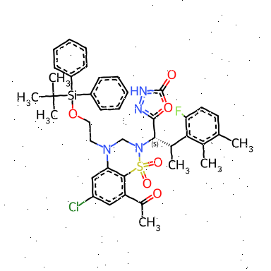 CC(=O)c1cc(Cl)cc2c1S(=O)(=O)N([C@H](c1n[nH]c(=O)o1)C(C)c1c(F)ccc(C)c1C)CN2CCO[Si](c1ccccc1)(c1ccccc1)C(C)(C)C